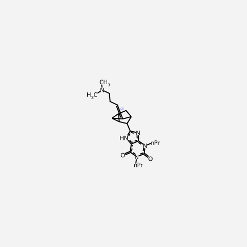 CCCn1c(=O)c2[nH]c(C3C4CC5C(/C4=C\CCN(C)C)C53)nc2n(CCC)c1=O